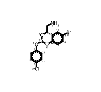 NCCOB(Oc1ccc(Cl)cc1)Oc1ccc(Br)cc1